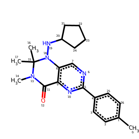 Cc1ccc(-c2ncc3c(n2)C(=O)N(C)C(C)(C)N3NC2CCCC2)cc1